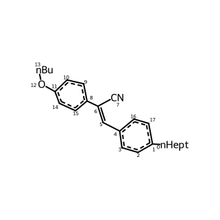 CCCCCCCc1ccc(/C=C(\C#N)c2ccc(OCCCC)cc2)cc1